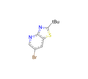 CC(C)(C)c1nc2ncc(Br)cc2s1